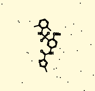 COc1ccc(NC(=O)c2cc(C)cs2)cc1S(=O)(=O)Nc1c(C)cccc1C